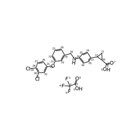 O=C(O)C(F)(F)F.O=C(O)C1CC1c1ccc(NCc2cccc(Oc3ccc(Cl)c(Cl)c3)c2)cc1